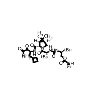 CCNC(=O)OC[C@@H](NC(=O)N[C@H](C(=O)N1C[C@H]2[C@@H]([C@H]1C(=O)NC(CC1CCC1)C(=O)C(N)=O)C2(C)C)C(C)(C)C)C(C)(C)C